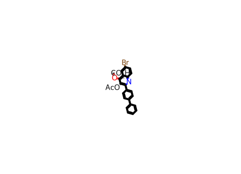 CC(=O)Oc1c(-c2ccc(-c3ccccc3)cc2)nc2ccc(Br)cc2c1OC(=O)O